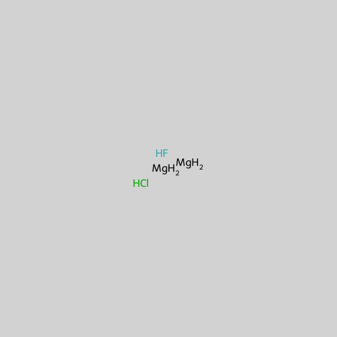 Cl.F.[MgH2].[MgH2]